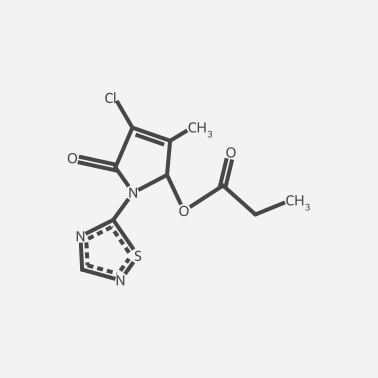 CCC(=O)OC1C(C)=C(Cl)C(=O)N1c1ncns1